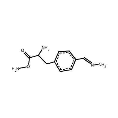 N/N=C/c1ccc(CC(N)C(=O)ON)cc1